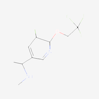 CNC(C)C1=CC(F)C(OCC(F)(F)F)N=C1